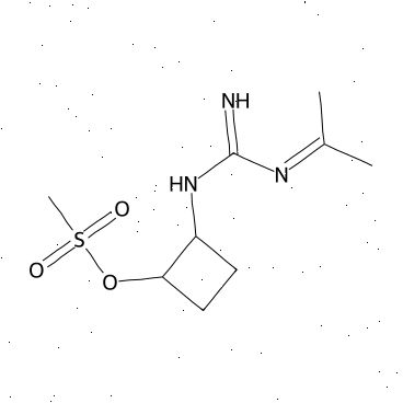 CC(C)=NC(=N)NC1CCC1OS(C)(=O)=O